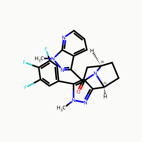 Cn1nc2c(c1-c1cc(F)c(F)c(F)c1)C[C@H]1CC[C@@H]2N1C(=O)c1nn(C)c2ncccc12